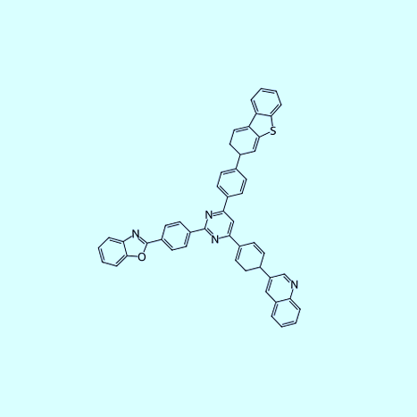 C1=CC(c2cnc3ccccc3c2)CC=C1c1cc(-c2ccc(C3C=c4sc5ccccc5c4=CC3)cc2)nc(-c2ccc(-c3nc4ccccc4o3)cc2)n1